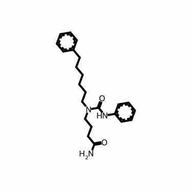 NC(=O)CCCN(CCCCCCc1ccccc1)C(=O)Nc1ccccc1